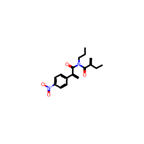 C=C(CC)C(=O)N(CCC)C(=O)C(=C)c1ccc([N+](=O)[O-])cc1